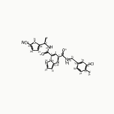 CC(NC(=O)c1cc(C(=O)NCc2ccc(F)c(Cl)c2)nc2ccnn12)c1ccc(C#N)s1